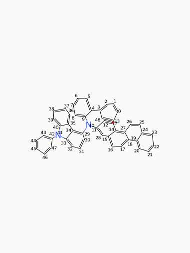 c1ccc(-c2ccccc2N(c2ccc3c(ccc4c5ccccc5ccc34)c2)c2cccc3c2c2ccccc2n3-c2ccccc2)cc1